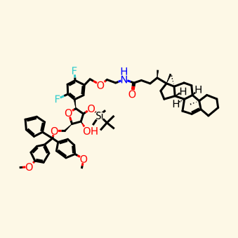 COc1ccc(C(OC[C@H]2O[C@@H](c3cc(COCCNC(=O)CC[C@@H](C)[C@@]4(C)CC[C@H]5[C@@H]6CC=C7CCCC[C@]7(C)[C@H]6CC[C@@]54C)c(F)cc3F)C(O[Si](C)(C)C(C)(C)C)[C@H]2O)(c2ccccc2)c2ccc(OC)cc2)cc1